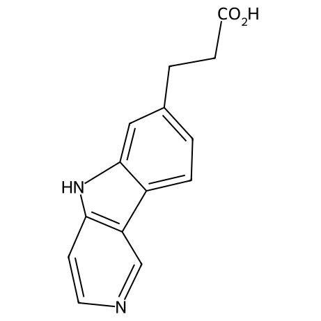 O=C(O)CCc1ccc2c(c1)[nH]c1ccncc12